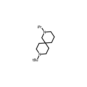 CC(C)N1CCCC2(CCN(C(C)(C)C)CC2)C1